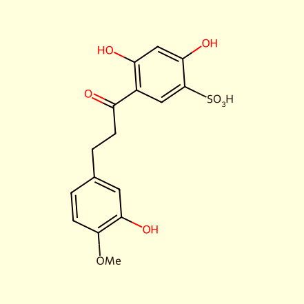 COc1ccc(CCC(=O)c2cc(S(=O)(=O)O)c(O)cc2O)cc1O